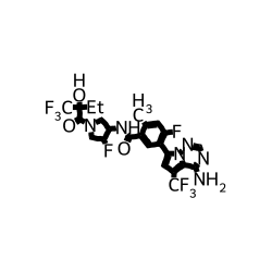 CCC(O)(C(=O)N1CC(F)C(NC(=O)c2cc(-c3cc(C(F)(F)F)c4c(N)ncnn34)c(F)cc2C)C1)C(F)(F)F